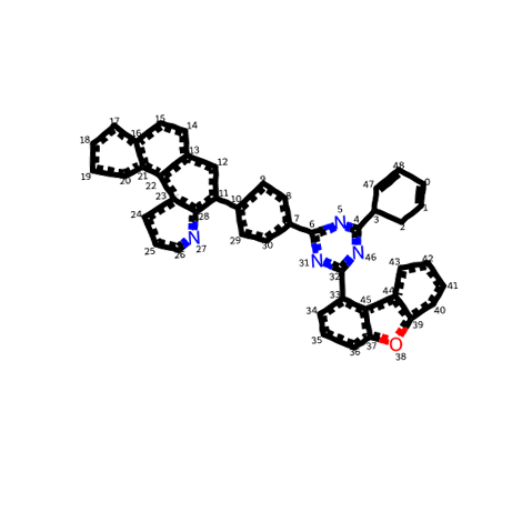 C1=CCC(c2nc(-c3ccc(-c4cc5ccc6ccccc6c5c5cccnc45)cc3)nc(-c3cccc4oc5ccccc5c34)n2)C=C1